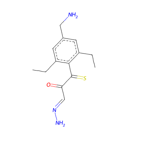 CCc1cc(CN)cc(CC)c1C(=S)C(=O)C=NN